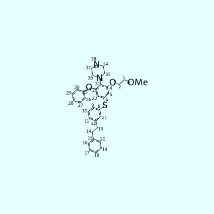 COCCOc1cc(Sc2cccc(CCc3ccccc3)c2)cc(Oc2ccccc2)c1N1CCN(C)CC1